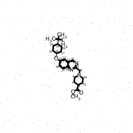 COC(=O)C1CCN(Cc2ncc3cc(O[C@H]4CC[C@H](C(C)(C)C)CC4)ccc3n2)CC1